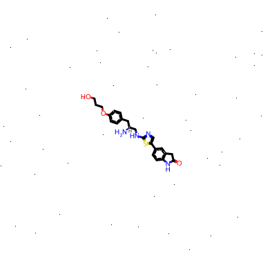 N[C@H](CNc1ncc(-c2ccc3c(c2)CC(=O)N3)s1)Cc1ccc(OCCCO)cc1